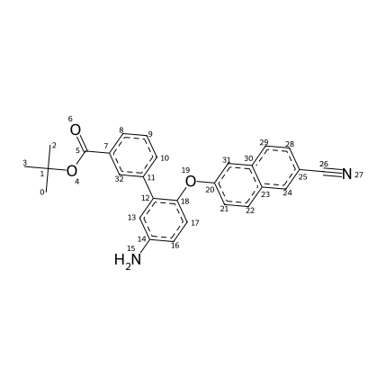 CC(C)(C)OC(=O)c1cccc(-c2cc(N)ccc2Oc2ccc3cc(C#N)ccc3c2)c1